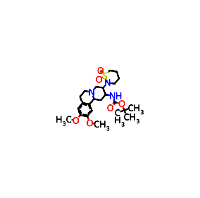 COc1cc2c(cc1OC)C1CC(NC(=O)OC(C)(C)C)C(N3CCCCS3(=O)=O)CN1CC2